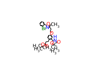 Cc1oc(-c2ccccc2Br)nc1CCOc1ccc(CCC(=O)OC(C)(C)C)c(C(NC=O)OC(C)C)c1